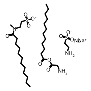 CCCCCCCCCCCC(=O)N(C)CCS(=O)(=O)[O-].CCCCCCCCCCCC(=O)OC(=O)CN.NCCS(=O)(=O)[O-].[Na+].[Na+]